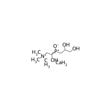 C[N+](C)(C)C/C(O)=[P+](\[O-])CC(O)CO.[CaH2]